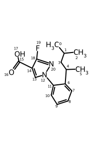 CC(C)CC(C)c1ccccc1-n1cc(C(=O)O)c(F)n1